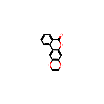 O=c1oc2cc3c(cc2c2ccccc12)OC=CO3